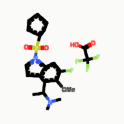 COc1c(F)cc2c(ccn2S(=O)(=O)c2ccccc2)c1C(C)N(C)C.O=C(O)C(F)(F)F